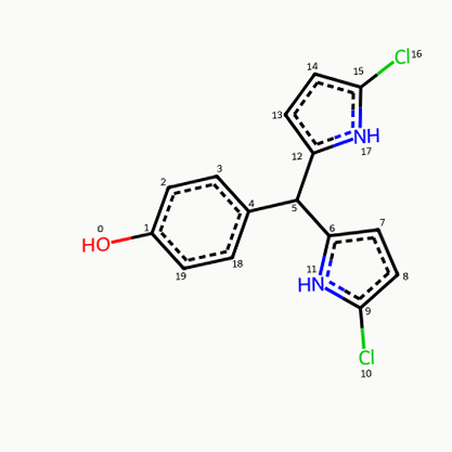 Oc1ccc(C(c2ccc(Cl)[nH]2)c2ccc(Cl)[nH]2)cc1